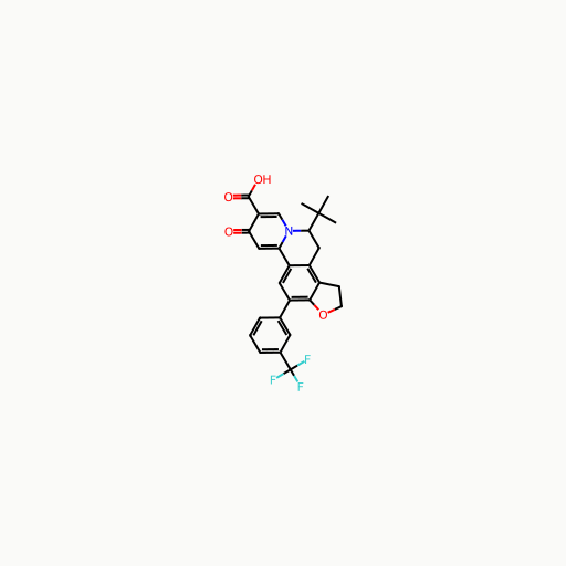 CC(C)(C)C1Cc2c(cc(-c3cccc(C(F)(F)F)c3)c3c2CCO3)-c2cc(=O)c(C(=O)O)cn21